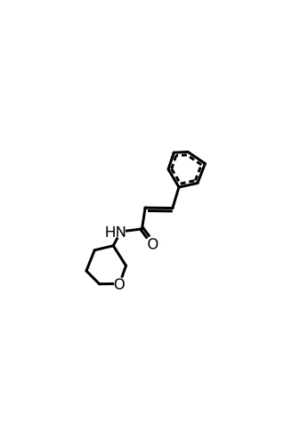 O=C(C=Cc1ccccc1)NC1CCCOC1